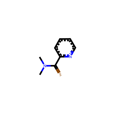 CN(C)C(=S)c1ccccn1